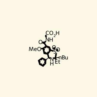 CCCC[C@]1(CC)CS(=O)(=O)c2cc(C(=O)NCC(=O)O)c(OC)cc2[C@H](c2ccccc2)N1